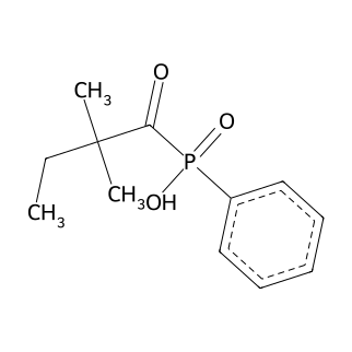 CCC(C)(C)C(=O)P(=O)(O)c1ccccc1